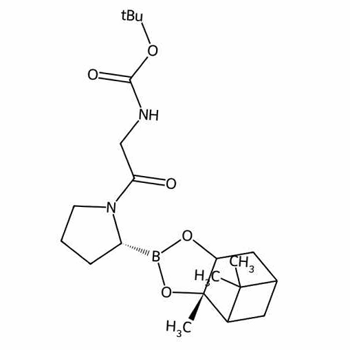 CC(C)(C)OC(=O)NCC(=O)N1CCC[C@H]1B1OC2CC3CC(C3(C)C)[C@]2(C)O1